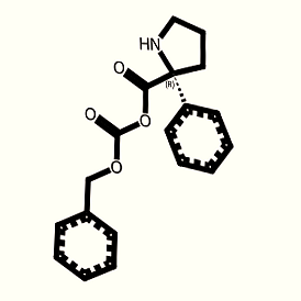 O=C(OCc1ccccc1)OC(=O)[C@]1(c2ccccc2)CCCN1